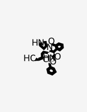 C#C/C=C(Cl)\C=C/C[C@H]1[C@H](C(=O)NOCc2ccccc2)c2ccccc2C(=O)N1[C@@H]1CCNC1